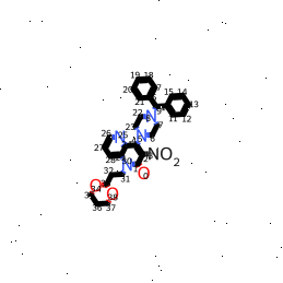 O=c1c([N+](=O)[O-])c(N2CCN(C(c3ccccc3)c3ccccc3)CC2)c2ncccc2n1CCC1OCCCO1